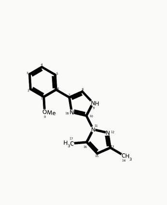 COc1ccccc1-c1c[nH]c(-n2nc(C)cc2C)n1